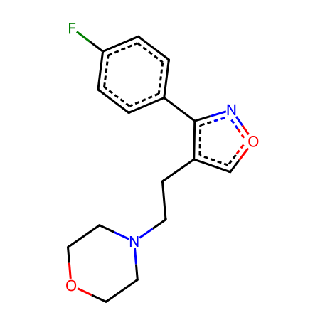 Fc1ccc(-c2nocc2CCN2CCOCC2)cc1